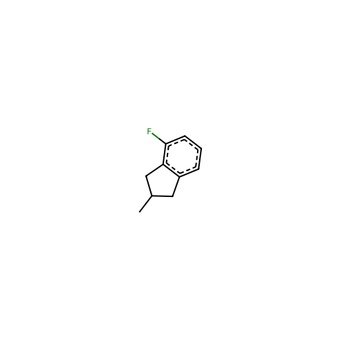 CC1Cc2cccc(F)c2C1